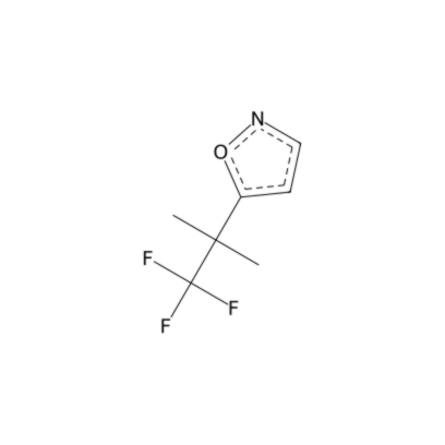 CC(C)(c1ccno1)C(F)(F)F